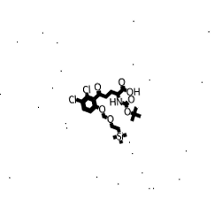 CC(C)(C)OC(=O)NC(CCC(=O)c1c(OCOCC[Si](C)(C)C)ccc(Cl)c1Cl)C(=O)O